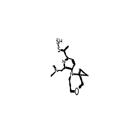 CC(SS)c1ccc(N2CCOCC23CC3)c(CN(C)C)n1